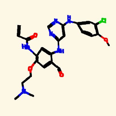 C=CC(=O)Nc1cc(Nc2cc(Nc3ccc(OC)c(Cl)c3)ncn2)c(C=O)cc1OCCN(C)C